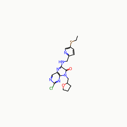 CCSc1ccc(CNc2nc3cnc(Cl)nc3n(CC3CCCO3)c2=O)nc1